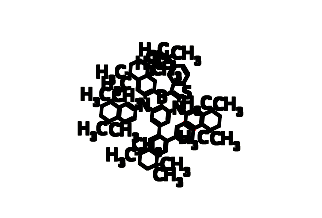 CC1(C)CCC(C)(C)C2CC3=C(C=C21)N(c1ccc2c(c1)C(C)(C)CCC2(C)C)c1cc(-c2cc4c(cc2-c2ccccc2)C(C)(C)CCC4(C)C)cc2c1B3c1c(sc3ccc(C(C)(C)C)cc13)N2c1ccc2c(c1)C(C)(C)CCC2(C)C